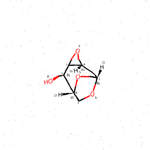 O[C@H]1C2O[C@@H]2[C@@H]2OC[C@H]1O2